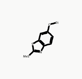 CCOc1ccc2nc(SC)sc2c1